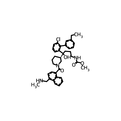 CCc1cccc(-c2c(Cl)cccc2C(O)(CCCNC(=O)OC)[C@@H]2CCCN(C(=O)c3ccc(CNC)c4ccccc34)C2)c1